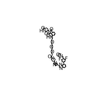 O=C1CCC(N2C(=O)c3cccc(NCCOCCOCCOCCC(=O)N4CCC(n5cc(-c6cnc7cccc(-c8cc(F)c(CN9CCOCC9)c(F)c8)c7n6)cn5)CC4)c3C2=O)C(=O)N1